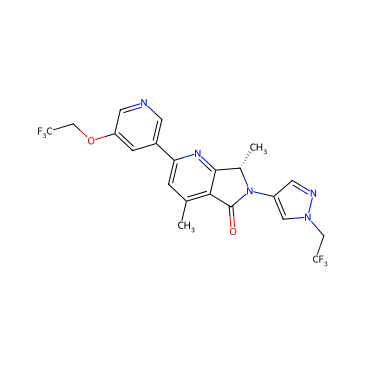 Cc1cc(-c2cncc(OCC(F)(F)F)c2)nc2c1C(=O)N(c1cnn(CC(F)(F)F)c1)[C@H]2C